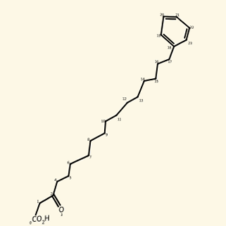 O=C(O)CC(=O)CCCCCCCCCCCCCCc1ccccc1